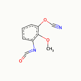 COc1c(N=C=O)cccc1OC#N